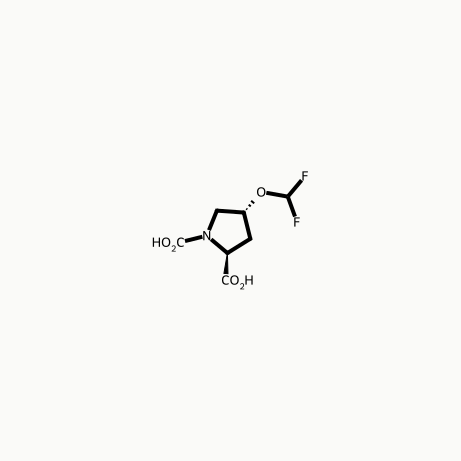 O=C(O)[C@@H]1C[C@@H](OC(F)F)CN1C(=O)O